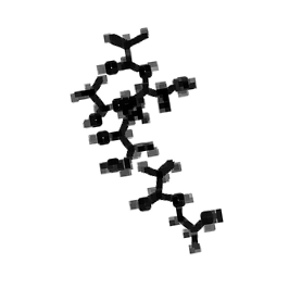 C=C(C)C(=O)OC.C=C(C)C(=O)OC(C)NC(C)(C)C.C=C(C)C(=O)OCC(C)O.C=C(CCCCCCCC)C(N)=O